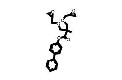 CC(COCC1CO1)(COCC1CO1)C(=O)Oc1ccc(-c2ccccc2)cc1